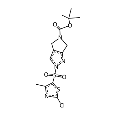 Cc1nc(Cl)sc1S(=O)(=O)n1cc2c(n1)CN(C(=O)OC(C)(C)C)C2